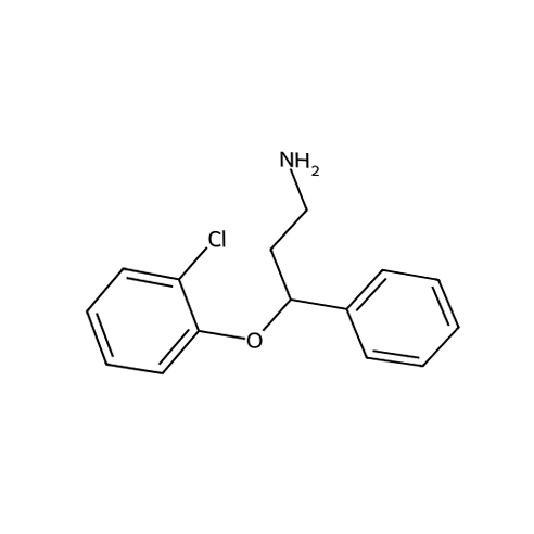 NCCC(Oc1ccccc1Cl)c1ccccc1